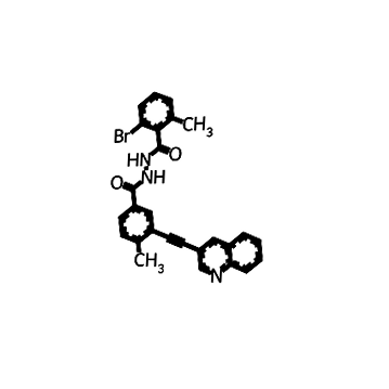 Cc1ccc(C(=O)NNC(=O)c2c(C)cccc2Br)cc1C#Cc1cnc2ccccc2c1